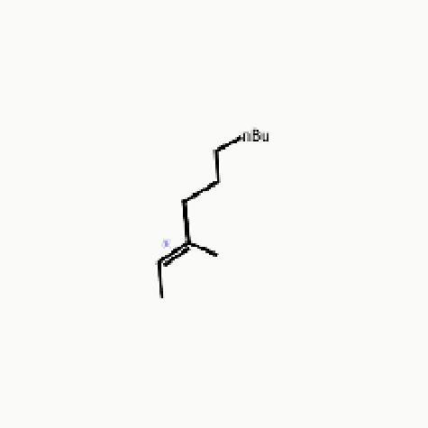 C/C=C(\C)CCCCCCC